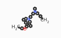 C=CC1C=CC(C2CC=C3C(C2)C2CC(C4CC=C(N(C5CCC6C=CCCC6C5)C5CCC6C7CCC=CC7C(C7=CCCCC7)(C7=CC=C(OC8CCC(C=C)CC8)CC7)C6C5)CC4)CCC2N3C2CC=CCC2)=CC1